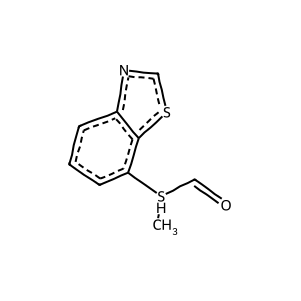 C[SH](C=O)c1cccc2ncsc12